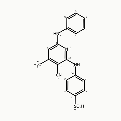 Cc1cc(Nc2ccccc2)nc(Nc2ccc(S(=O)(=O)O)cc2)c1C#N